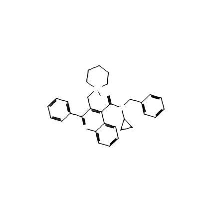 O=C(c1c(C[N+]2([O-])CCCCC2)c(-c2ccccc2)nc2ccccc12)N(Cc1ccccc1)C1CC1